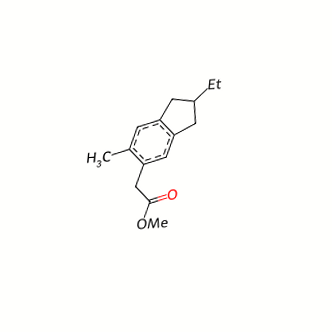 CCC1Cc2cc(C)c(CC(=O)OC)cc2C1